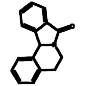 O=C1c2ccccc2C2c3ccccc3CCN12